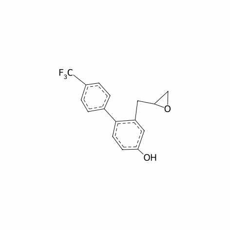 Oc1ccc(-c2ccc(C(F)(F)F)cc2)c(CC2CO2)c1